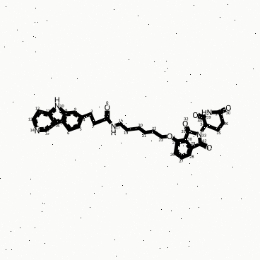 O=C(CCc1ccc2c(c1)[nH]c1ccncc12)NCCCCCCOc1cccc2c1C(=O)N(C1CCC(=O)NC1=O)C2=O